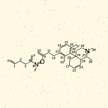 C=CCCC(=C)N(C)OC(=C)CCc1ccc(C)c(C23CCC=CC2C(C)N(C)CC3)c1C